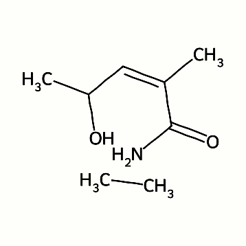 CC.CC(=CC(C)O)C(N)=O